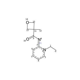 CCn1cccc/c1=N\C(=O)C1(C)COC1